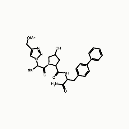 COCc1cn(C(C(=O)N2CC(O)CC2C(=O)NC(Cc2ccc(-c3ccccc3)cc2)C(N)=O)C(C)(C)C)nn1